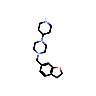 c1cc2c(cc1CN1CCN(C3CCNCC3)CC1)OCC2